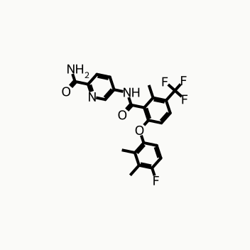 Cc1c(F)ccc(Oc2ccc(C(F)(F)F)c(C)c2C(=O)Nc2ccc(C(N)=O)nc2)c1C